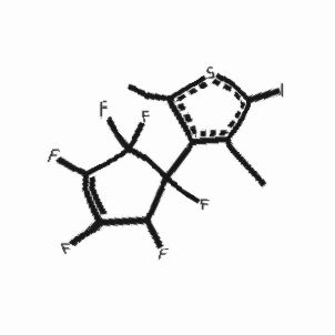 Cc1sc(I)c(C)c1C1(F)C(F)C(F)=C(F)C1(F)F